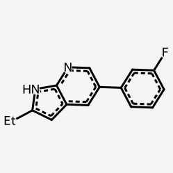 CCc1cc2cc(-c3cccc(F)c3)cnc2[nH]1